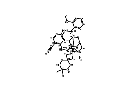 COc1ccccc1CNc1ncc(C#N)c(NC[C@]23CC4C[C@H](C2)[C@@H](N2CC5(COC(C)(C)OC5)C2)[C@@H](C4)C3)n1